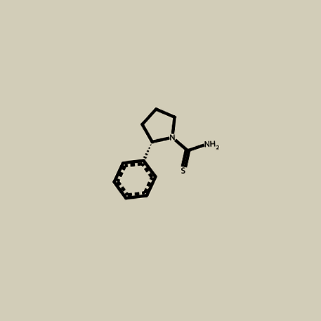 NC(=S)N1CCC[C@H]1c1ccccc1